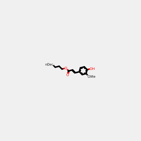 CCCCCCCCCCCCCOC(=O)/C=C/c1ccc(O)c(OC)c1